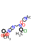 CC(=O)N1CCC(OC(=O)N(CCCN2CC3CN(C(=O)c4ccccc4S(C)(=O)=O)CC3C2)c2ccc(C)c(Cl)c2)CC1